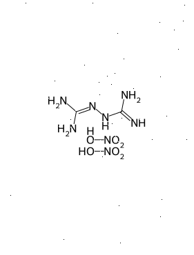 N=C(N)NN=C(N)N.O=[N+]([O-])O.O=[N+]([O-])O